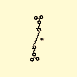 Cc1c[n+](CCCCCCCCCC[n+]2ccc(/C=C/c3ccc(N(c4ccccc4)c4ccccc4)cc3)c(C)c2)ccc1/C=C/c1ccc(N(c2ccccc2)c2ccccc2)cc1.[Br-].[Br-]